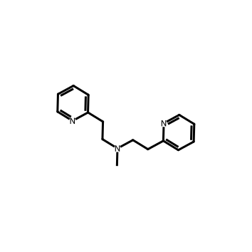 CN(CCc1ccccn1)CCc1ccccn1